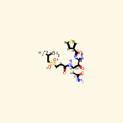 CC(C)CS(=O)(=O)C[CH]C(=O)N[C@@H](CC(N)=O)C(=O)c1noc(-c2ccsc2)n1